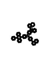 c1ccc(-c2c3ccccc3c(-c3ccc(N(c4ccc(-c5cccc6ccccc56)cc4)c4ccc5c(c4)c4ccccc4n5-c4cccc5c4CCCC5)cc3)c3ccccc23)cc1